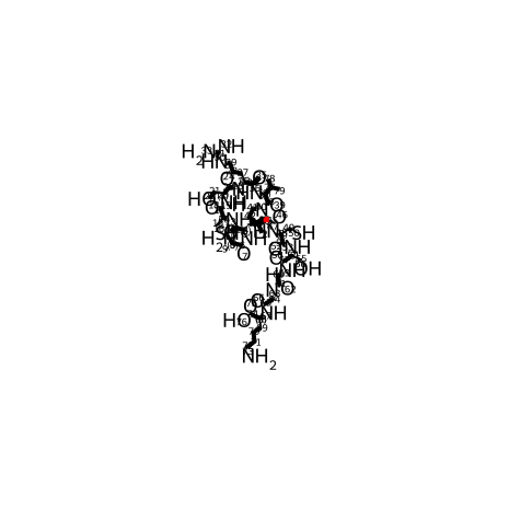 CC(C)C[C@H](NC(=O)[C@H](C)N)C(=O)N[C@@H](CS)C(=O)N[C@@H](CO)C(=O)N[C@@H](CCCNC(=N)N)C(=O)N[C@H](C(=O)N1CCC[C@H]1C(=O)N[C@@H](CS)C(=O)N[C@@H](CO)C(=O)NCC(=O)NCC(=O)N[C@@H](CCCCN)C(=O)O)C(C)C